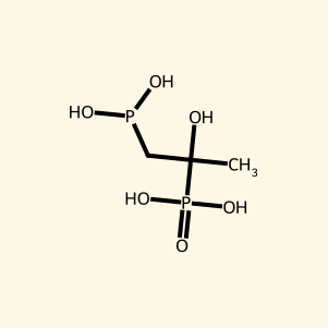 CC(O)(CP(O)O)P(=O)(O)O